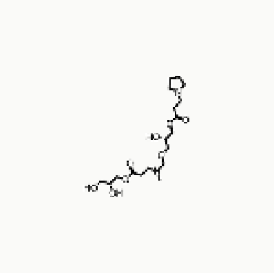 CN(CCC(=O)OC[C@@H](O)CO)COC[C@H](O)COC(=O)CCN1CCCC1